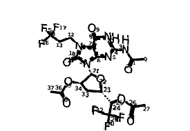 CC(=O)Nc1nc2c(c(=O)[nH]1)n(CCC(F)(F)F)c(=O)n2[C@@H]1O[C@H](C(OC(C)=O)C(F)(F)F)C[C@H]1OC(C)=O